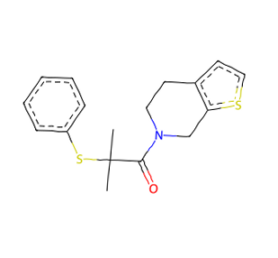 CC(C)(Sc1ccccc1)C(=O)N1CCc2ccsc2C1